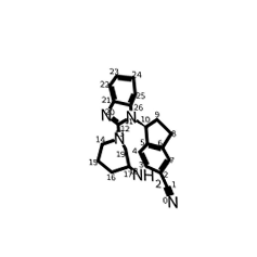 N#Cc1ccc2c(c1)CC[C@@H]2n1c(N2CCCC(N)C2)nc2ccccc21